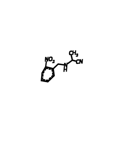 CC(C#N)NCc1ccccc1[N+](=O)[O-]